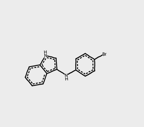 Brc1ccc(Nc2c[nH]c3ccccc23)cc1